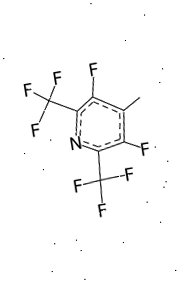 Cc1c(F)c(C(F)(F)F)nc(C(F)(F)F)c1F